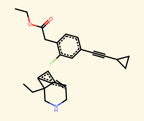 CCC12CNCc3ccc1cc32.CCOC(=O)Cc1ccc(C#CC2CC2)cc1F